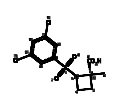 C[C@@]1(C(=O)O)CCN1S(=O)(=O)c1cc(Cl)cc(Cl)c1